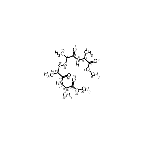 COC(=O)[C@H](C)NC(=O)C(C)SSC(C)C(=O)N[C@@H](C)C(=O)OC